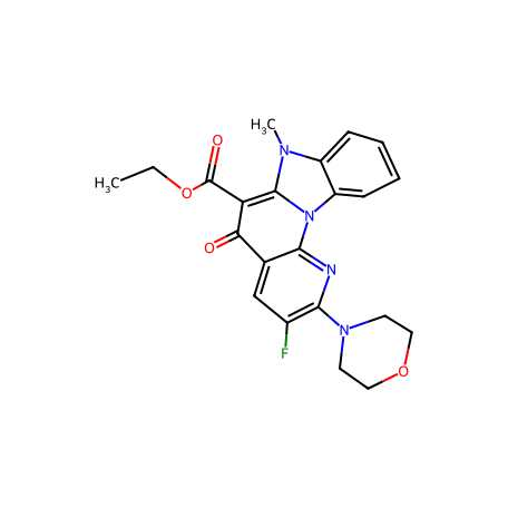 CCOC(=O)c1c(=O)c2cc(F)c(N3CCOCC3)nc2n2c3ccccc3n(C)c12